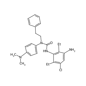 CCc1c(N)cc(Cl)c(CC)c1NC(=O)N(CCc1ccccc1)c1ccc(N(C)C)cc1